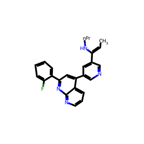 C/C=C(\NCCC)c1cncc(-c2cc(-c3ccccc3F)nc3ncccc23)c1